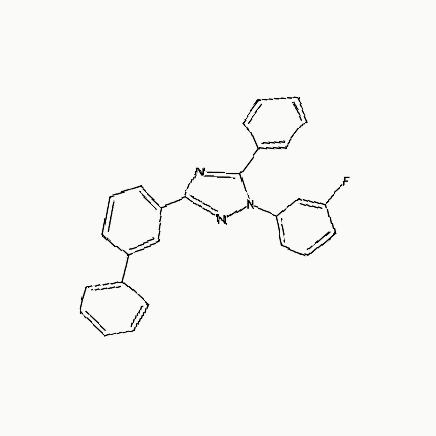 Fc1cccc(-n2nc(-c3cccc(-c4ccccc4)c3)nc2-c2ccccc2)c1